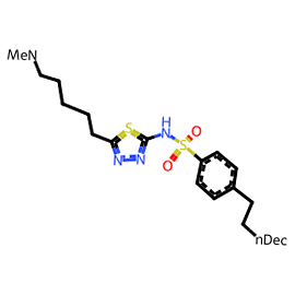 CCCCCCCCCCCCc1ccc(S(=O)(=O)Nc2nnc(CCCCCNC)s2)cc1